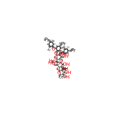 CC[C@H]1O[C@@H](O[C@H]2[C@H](O)[C@@H](O)[C@H](O[C@H]3[C@H](O)[C@@H](O)[C@H](Oc4c(Oc5ccc(C(C)C)cc5C)cc(C(C)C)cc4Oc4ccc(C(C)C)cc4C)O[C@@H]3CO)O[C@@H]2CO)[C@H]([Re])[C@@H](O)[C@H]1O